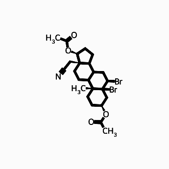 CC(=O)O[C@H]1CC[C@]2(C)C3CC[C@@]4(CC#N)C(CC[C@@H]4OC(C)=O)C3CC(Br)C2(Br)C1